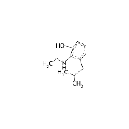 CCNc1c(O)cccc1CC(C)C